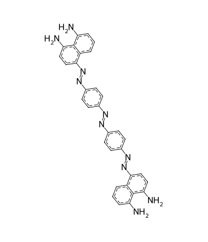 Nc1cccc2c(N=Nc3ccc(/N=N/c4ccc(N=Nc5ccc(N)c6c(N)cccc56)cc4)cc3)ccc(N)c12